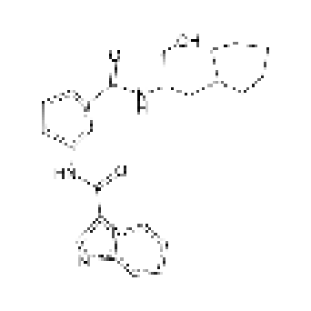 O=C(N[C@H](CO)CC1CCCCC1)c1cccc(NC(=O)c2cnc3ccccn23)c1